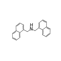 c1ccc2c(CNCc3cccc4ccccc34)cccc2c1